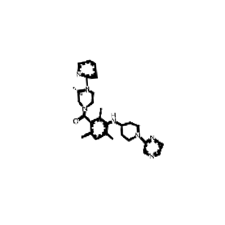 Cc1cc(C)c(C(=O)N2CCN(c3ccccn3)[C@@H](C)C2)c(C)c1NC1CCN(c2cnccn2)CC1